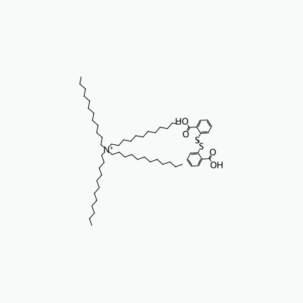 CCCCCCCCCCCC[N+](CCCCCCCCCCCC)(CCCCCCCCCCCC)CCCCCCCCCCCC.O=C(O)c1ccccc1SSc1ccccc1C(=O)O